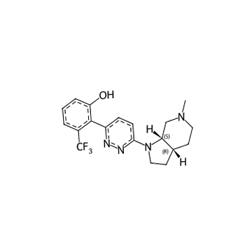 CN1CC[C@@H]2CCN(c3ccc(-c4c(O)cccc4C(F)(F)F)nn3)[C@@H]2C1